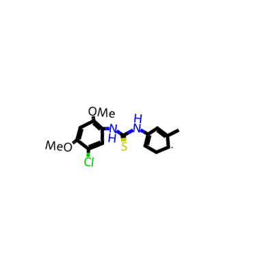 COc1cc(OC)c(NC(=S)NC2=CC[CH]C(C)=C2)cc1Cl